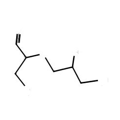 O=CC(CO)OCC(O)CO